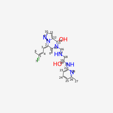 C=C1/C(=C\C=C(/C)F)n2nccc2C(O)N1CNCC(O)Nc1cccc(C)n1